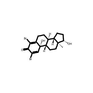 C[C@]12CC[C@H]3[C@@H](CCC4=C(Br)C(=O)C(Br)=C[C@@]43O)[C@@H]1CC[C@@H]2O